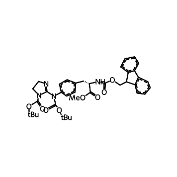 COC(=O)[C@H](Cc1ccc(N(C(=O)OC(C)(C)C)C2=NCCN2C(=O)OC(C)(C)C)cc1)NC(=O)OCC1c2ccccc2-c2ccccc21